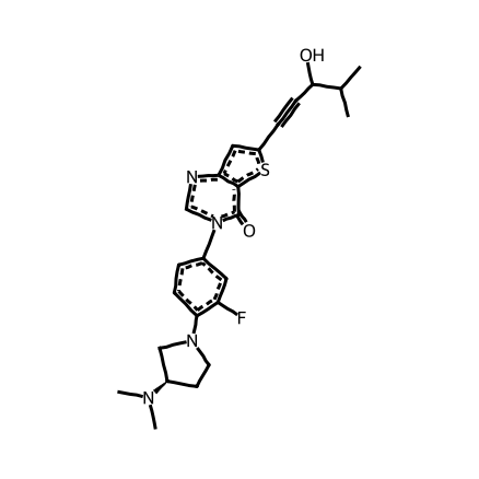 CC(C)C(O)C#Cc1cc2ncn(-c3ccc(N4CC[C@@H](N(C)C)C4)c(F)c3)c(=O)c2s1